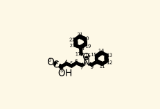 O=C=C(O)CCCCN(Cc1ccccc1)OCc1ccccc1